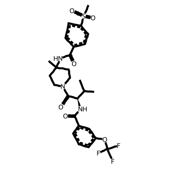 CC(C)[C@@H](NC(=O)c1cccc(OC(F)(F)F)c1)C(=O)N1CCC(C)(NC(=O)c2ccc(S(C)(=O)=O)cc2)CC1